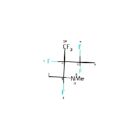 CNC(C)(F)C(F)(C(C)(F)F)C(F)(F)F